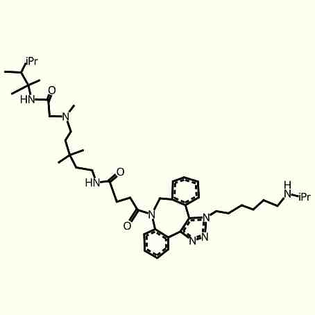 CC(C)NCCCCCCn1nnc2c1-c1ccccc1CN(C(=O)CCC(=O)NCCC(C)(C)CCN(C)CC(=O)NC(C)(C)C(C)C(C)C)c1ccccc1-2